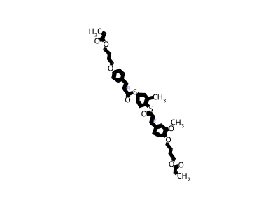 C=CC(=O)OCCCCOc1ccc(/C=C/C(=O)Sc2ccc(SC(=O)/C=C/c3ccc(OCCCCOC(=O)C=C)c(OC)c3)c(C)c2)cc1